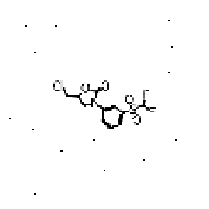 O=C1OC(CCl)CN1c1cccc(S(=O)(=O)C(F)F)c1